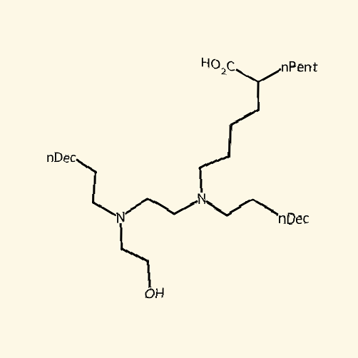 CCCCCCCCCCCCN(CCO)CCN(CCCCCCCCCCCC)CCCCC(CCCCC)C(=O)O